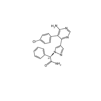 NC(=O)[C@@H](c1ccccc1)n1cc(-c2ncnc(N)c2-c2ccc(Cl)cc2)cn1